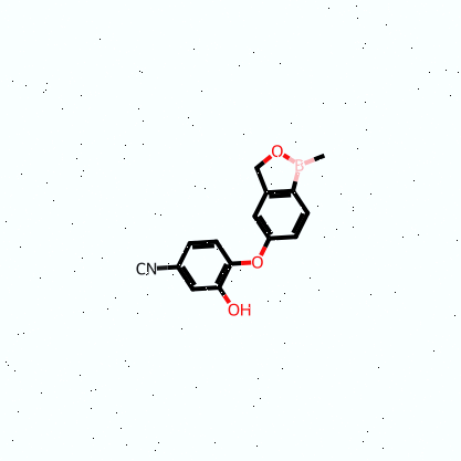 [C-]#[N+]c1ccc(Oc2ccc3c(c2)COB3C)c(O)c1